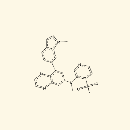 CN(c1cc(-c2ccc3ccn(C)c3c2)c2nccnc2c1)c1cnccc1S(C)(=O)=O